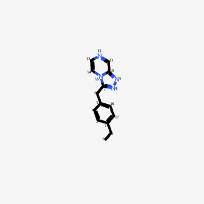 CCc1ccc(Cc2nnc3cnccn23)cc1